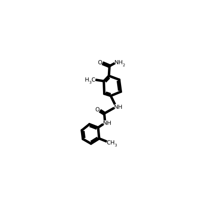 Cc1ccccc1NC(=O)Nc1ccc(C(N)=O)c(C)c1